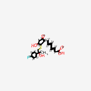 CC(O)(CS[C@H]1C(O)CC(=O)[C@@H]1CCCCCCC(=O)O)c1ccc(F)cc1